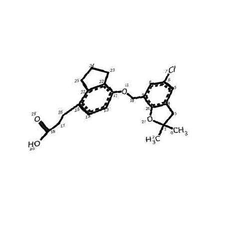 CC1(C)Cc2cc(Cl)cc(COc3ccc(CCC(=O)O)c4c3CCC4)c2O1